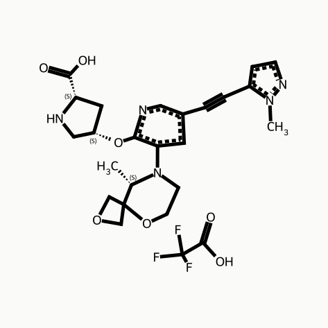 C[C@@H]1N(c2cc(C#Cc3ccnn3C)cnc2O[C@@H]2CN[C@H](C(=O)O)C2)CCOC12COC2.O=C(O)C(F)(F)F